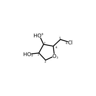 OC1COC(CCl)C1O